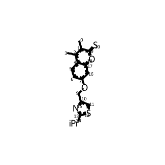 Cc1c(C)c2ccc(OCc3csc(C(C)C)n3)cc2oc1=S